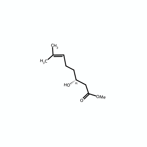 COC(=O)C[C@H](O)CCC=C(C)C